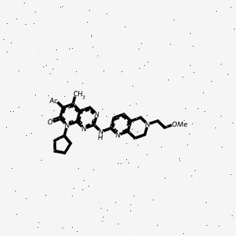 COCCN1CCc2nc(Nc3ncc4c(C)c(C(C)=O)c(=O)n(C5CCCC5)c4n3)ccc2C1